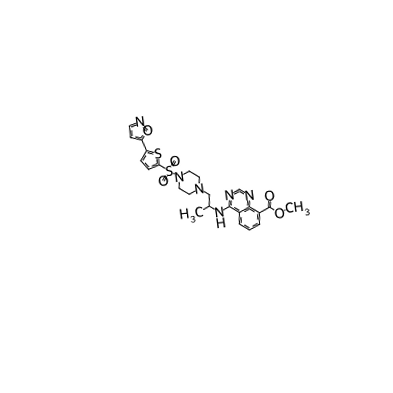 COC(=O)c1cccc2c(NC(C)CN3CCN(S(=O)(=O)c4ccc(-c5ccno5)s4)CC3)ncnc12